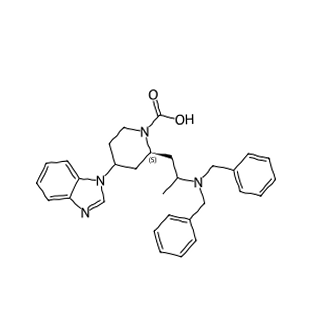 CC(C[C@H]1CC(n2cnc3ccccc32)CCN1C(=O)O)N(Cc1ccccc1)Cc1ccccc1